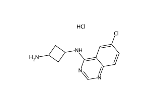 Cl.NC1CC(Nc2ncnc3ccc(Cl)cc23)C1